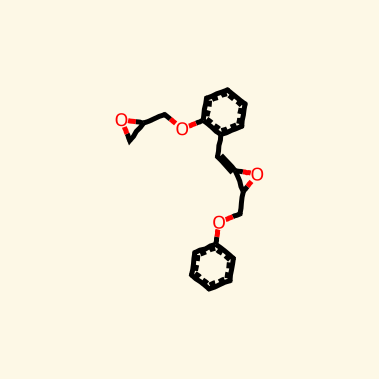 C(=C1OC1COc1ccccc1)c1ccccc1OCC1CO1